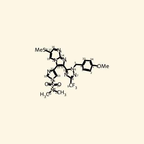 COc1ccc(Cn2nc(C(F)(F)F)nc2-c2nc3ncc(SC)cn3c2-c2cn(S(=O)(=O)N(C)C)cn2)cc1